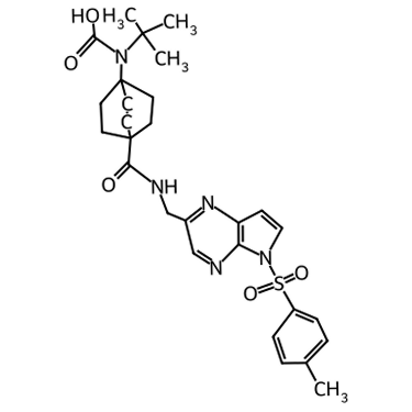 Cc1ccc(S(=O)(=O)n2ccc3nc(CNC(=O)C45CCC(N(C(=O)O)C(C)(C)C)(CC4)CC5)cnc32)cc1